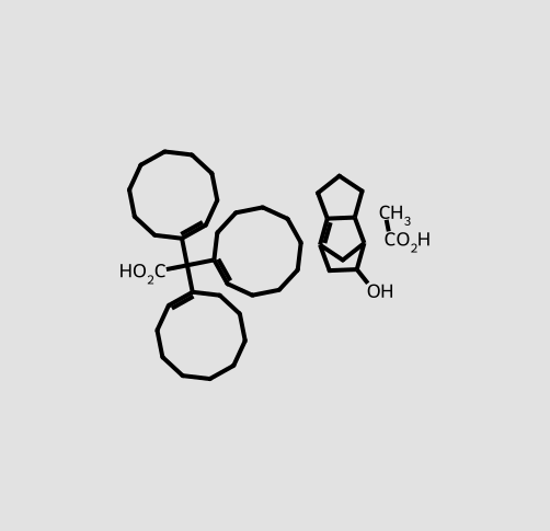 CC(=O)O.O=C(O)C(C1=CCCCCCCCC1)(C1=CCCCCCCCC1)C1=CCCCCCCCC1.OC1CC2=C3CCCC3C1C2